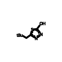 CC(C)(C)Cc1nnc(O)s1